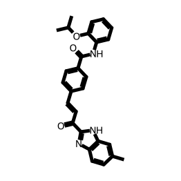 Cc1ccc2nc(C(=O)C=Cc3ccc(C(=O)Nc4ccccc4OC(C)C)cc3)[nH]c2c1